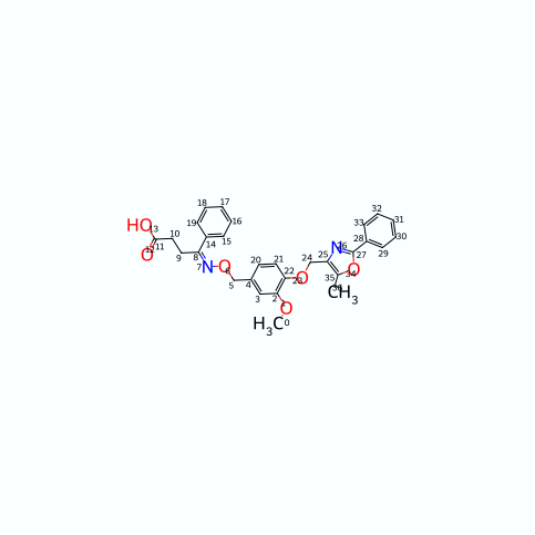 COc1cc(CON=C(CCC(=O)O)c2ccccc2)ccc1OCc1nc(-c2ccccc2)oc1C